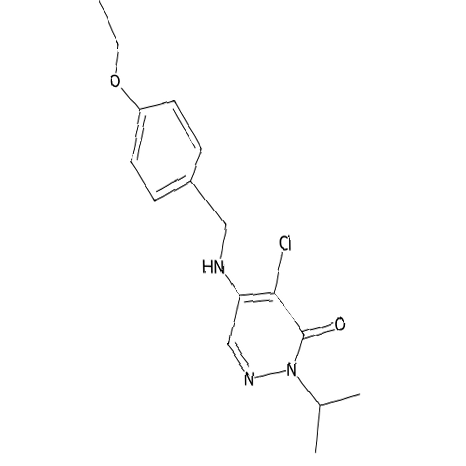 CCOc1ccc(CNc2cnn(C(C)C)c(=O)c2Cl)cc1